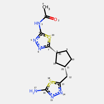 CC(=O)Nc1nnc([C@@H]2CC[C@H](Cc3nnc(N)s3)C2)s1